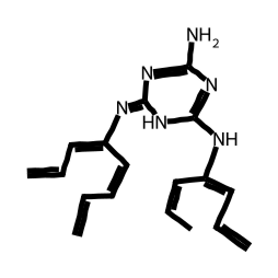 C=C\C=C/C(=C\C=C)/N=c1/nc(N)nc(NC(/C=C\C)=C/C=C)[nH]1